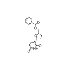 C[C@H]1CC(COC(=O)c2ccccc2)OC1n1ccc(=O)[nH]c1=O